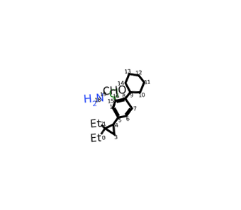 CCC1(CC)CC1c1ccc(C2CCCCC2)c(Cl)c1.NC=O